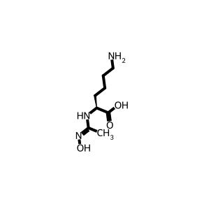 C/C(=N\O)N[C@@H](CCCCN)C(=O)O